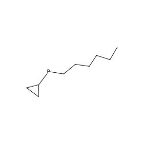 CCCCCC[P]C1CC1